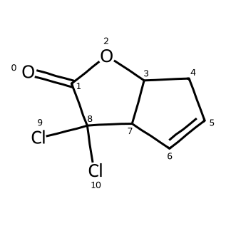 O=C1OC2CC=CC2C1(Cl)Cl